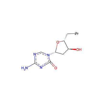 CC(C)C[C@H]1O[C@@H](n2cnc(N)nc2=O)C[C@@H]1O